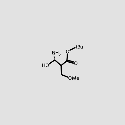 COCC(C(=O)OC(C)(C)C)[C@@H](N)O